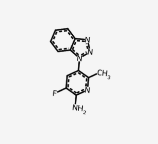 Cc1nc(N)c(F)cc1-n1nnc2ccccc21